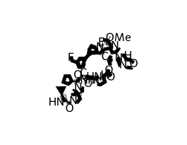 CCn1c(C2=C([C@H](C)OC)N=CC(N3CCN4CCOC[C@@H]4C3)C2)c2c3cc(ccc31)-c1cc(CF)cc(c1)C[C@H](NC(=O)[C@H](C1CCCC1)N1CC[C@]3(CCN(C(=O)[C@@H]4N[C@@H]4C4CC4)C3)C1)C(=O)N1CCC[C@H](N1)C(=O)OCC(C)(C)C2